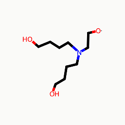 [O]CCN(CCCCO)CCCCO